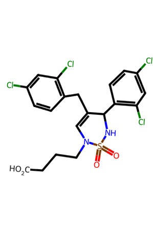 O=C(O)CCCN1C=C(Cc2ccc(Cl)cc2Cl)C(c2ccc(Cl)cc2Cl)NS1(=O)=O